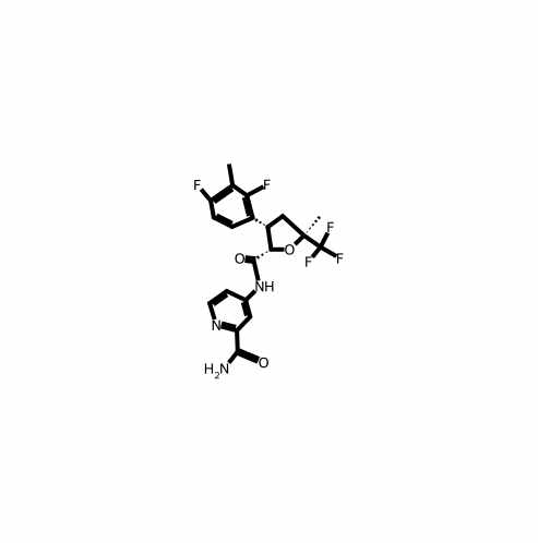 Cc1c(F)ccc([C@@H]2C[C@@](C)(C(F)(F)F)O[C@@H]2C(=O)Nc2ccnc(C(N)=O)c2)c1F